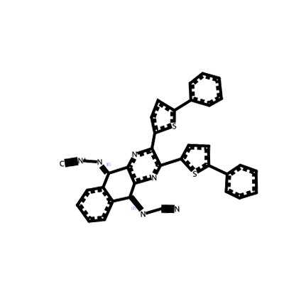 [C-]#[N+]/N=C1\c2ccccc2/C(=N/C#N)c2nc(-c3ccc(-c4ccccc4)s3)c(-c3ccc(-c4ccccc4)s3)nc21